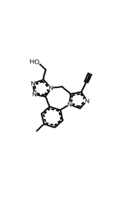 C#Cc1ncn2c1Cn1c(CO)nnc1-c1cc(C)ccc1-2